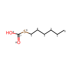 CCCCCCSC(=O)O